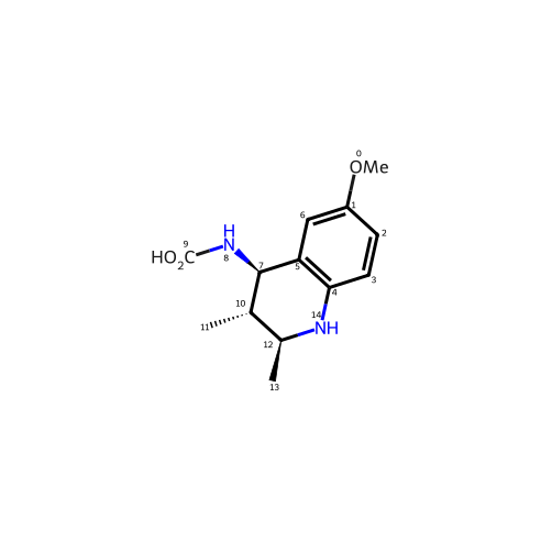 COc1ccc2c(c1)[C@H](NC(=O)O)[C@@H](C)[C@H](C)N2